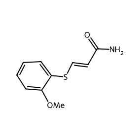 COc1ccccc1SC=CC(N)=O